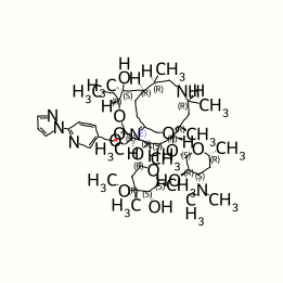 CC[C@H]1OC(=O)[C@H](C)[C@@H](O[C@H]2C[C@@](C)(OC)[C@@H](O)[C@H](C)O2)[C@H](C)[C@@H](O[C@@H]2O[C@H](C)C[C@H](N(C)C)[C@H]2O)[C@@]2(C)C[C@@H](C)NC[C@H](C)[C@@H](CC/C(=N\OCc3ccc(-n4cccn4)nc3)CO2)[C@]1(C)O